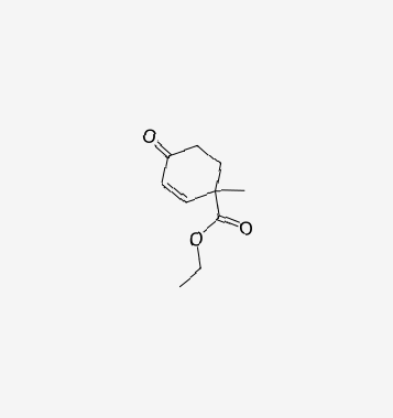 CCOC(=O)C1(C)C=CC(=O)CC1